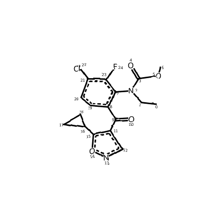 CCN(C(=O)OC)c1c(C(=O)c2cnoc2C2CC2)ccc(Cl)c1F